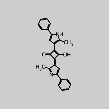 CC1=NC(c2ccccc2)=C/C1=C1/C(=O)C(c2cc(-c3ccccc3)[nH]c2C)=C1O